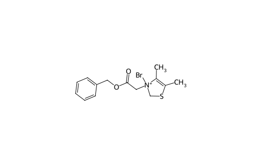 CC1=C(C)[N+](Br)(CC(=O)OCc2ccccc2)CS1